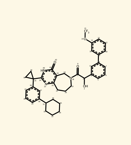 O=C(C(O)c1cccc(-c2cccc(OC(F)(F)F)c2)c1)N1CCCc2nc(C3(c4cccc(C5CCCCC5)c4)CC3)[nH]c(=O)c2C1